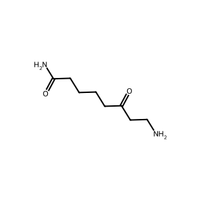 NCCC(=O)CCCCC(N)=O